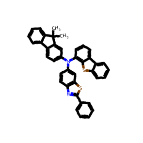 CC1(C)c2ccccc2-c2ccc(N(c3ccc4nc(-c5ccccc5)sc4c3)c3cccc4c3sc3ccccc34)cc21